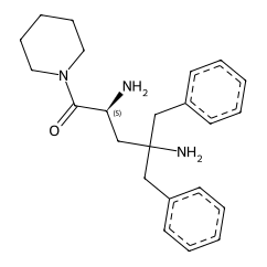 N[C@@H](CC(N)(Cc1ccccc1)Cc1ccccc1)C(=O)N1CCCCC1